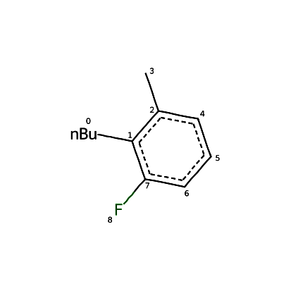 [CH2]CCCc1c(C)cccc1F